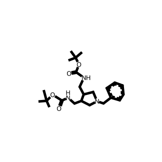 CC(C)(C)OC(=O)NCC1CN(Cc2ccccc2)CC1CNC(=O)OC(C)(C)C